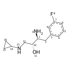 N[C@@H](Cc1cccc(F)c1)[C@H](O)CNC1CC1